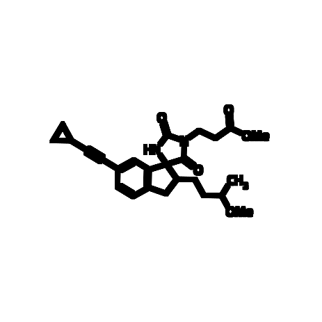 COC(=O)CCN1C(=O)NC2(C1=O)c1cc(C#CC3CC3)ccc1CC2CCC(C)OC